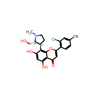 CN1CC[C@@H](c2c(O)cc(O)c3c(=O)cc(-c4ccc(C#N)cc4Cl)oc23)[C@@H]1CO